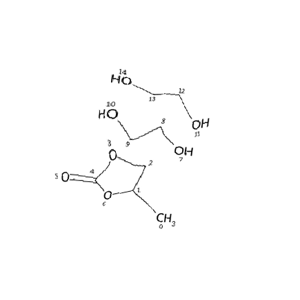 CC1COC(=O)O1.OCCO.OCCO